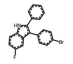 Fc1ccc2[nH]c(-c3ccccc3)c(-c3ccc(Br)cc3)c2c1